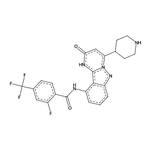 O=C(Nc1cccc2nn3c(C4CCNCC4)cc(=O)[nH]c3c12)c1ccc(C(F)(F)F)cc1F